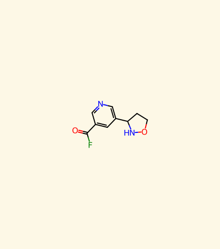 O=C(F)c1cncc(C2CCON2)c1